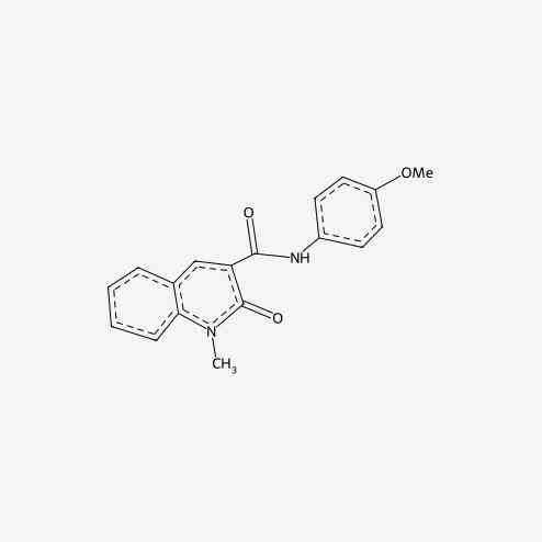 COc1ccc(NC(=O)c2cc3ccccc3n(C)c2=O)cc1